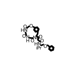 CC(C)C(COCc1ccccc1)NC(=O)CC(=O)C1Cc2ccc(cc2)OCC(=O)NCC(=O)NCC(=O)N1